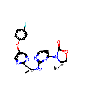 CC(C)[C@H]1COC(=O)N1c1ccnc(N[C@@H](C)c2ncc(Oc3ccc(F)cc3)cn2)n1